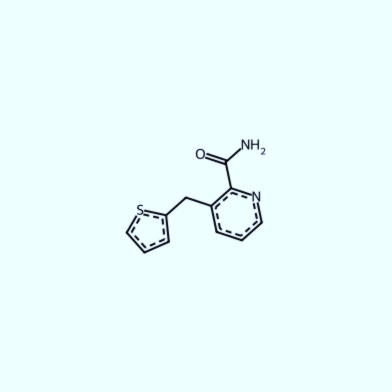 NC(=O)c1ncccc1Cc1cccs1